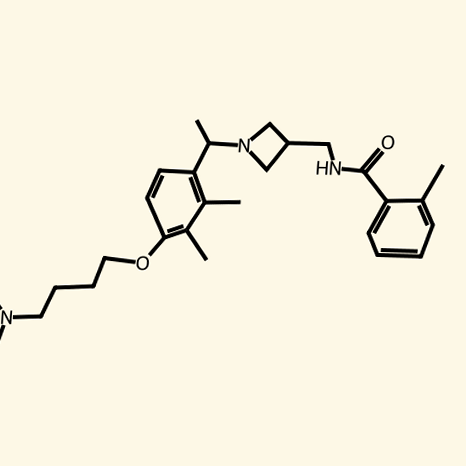 Cc1ccccc1C(=O)NCC1CN(C(C)c2ccc(OCCCCN(C)C)c(C)c2C)C1